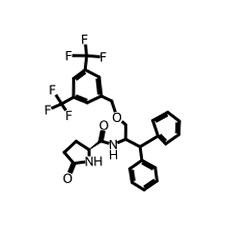 O=C1CC[C@@H](C(=O)NC(COCc2cc(C(F)(F)F)cc(C(F)(F)F)c2)C(c2ccccc2)c2ccccc2)N1